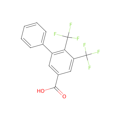 O=C(O)c1cc(-c2ccccc2)c(C(F)(F)F)c(C(F)(F)F)c1